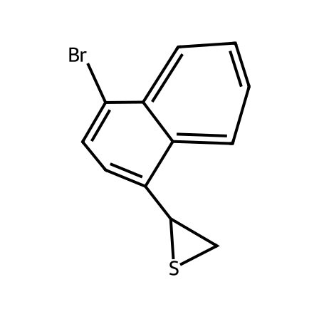 Brc1ccc(C2CS2)c2ccccc12